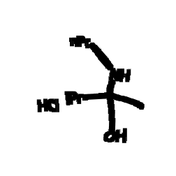 CCCNC(C)(O)C(C)C.Cl